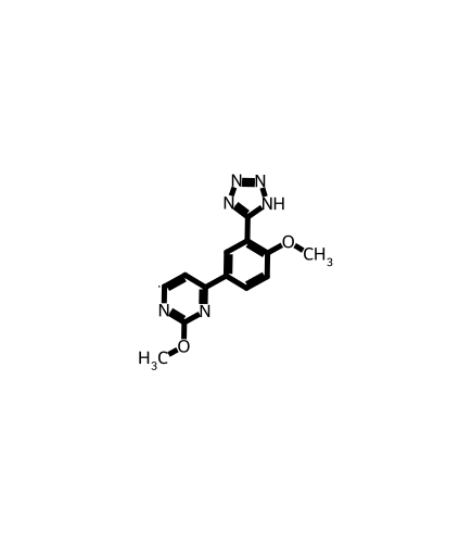 COc1n[c]cc(-c2ccc(OC)c(-c3nnn[nH]3)c2)n1